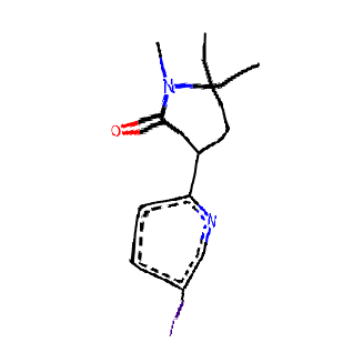 CN1C(=O)C(c2ccc(I)cn2)CC1(C)C